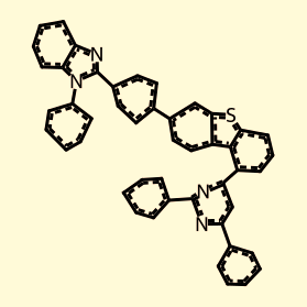 c1ccc(-c2cc(-c3cccc4sc5cc(-c6ccc(-c7nc8ccccc8n7-c7ccccc7)cc6)ccc5c34)nc(-c3ccccc3)n2)cc1